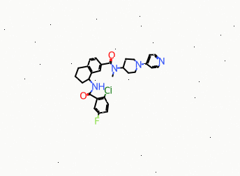 CN(C(=O)c1ccc2c(c1)C(NC(=O)c1cc(F)ccc1Cl)CCC2)C1CCN(c2ccncc2)CC1